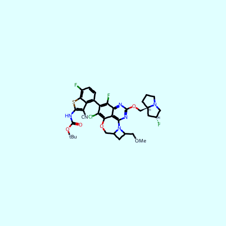 COCC1CC2COc3c(Cl)c(-c4ccc(F)c5sc(NC(=O)OC(C)(C)C)c(C#N)c45)c(F)c4nc(OC[C@@]56CCCN5C[C@H](F)C6)nc(c34)N12